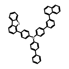 c1ccc(-c2ccc(N(c3ccc(-c4cccc(-c5cccc6ccccc56)c4)cc3)c3ccc(-c4cccc5c4sc4ccccc45)cc3)cc2)cc1